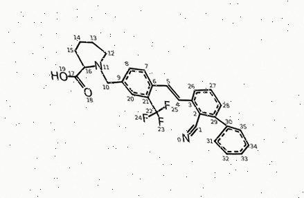 N#Cc1c(/C=C/c2ccc(CN3CCCCC3C(=O)O)cc2C(F)(F)F)cccc1-c1ccccc1